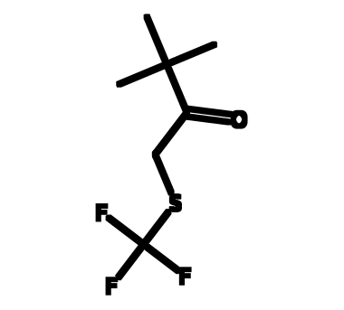 CC(C)(C)C(=O)CSC(F)(F)F